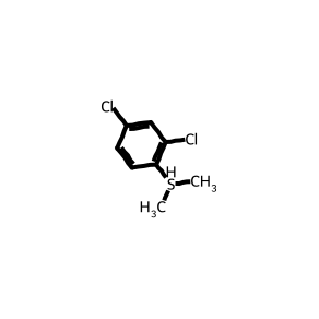 C[SH](C)c1ccc(Cl)cc1Cl